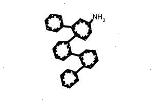 Nc1ccc(-c2ccccc2-c2ccccc2-c2ccccc2)c(-c2ccccc2)c1